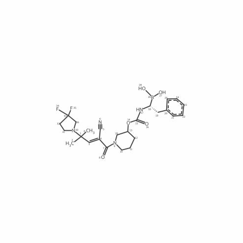 CC(C)(C=C(C#N)C(=O)N1CCCC(OC(=O)N[C@@H](Cc2ccccc2)B(O)O)C1)N1CCC(F)(F)C1